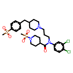 CS(=O)(=O)c1ccc(CC2CCN(CCCN(C(=O)C3CCN(S(C)(=O)=O)CC3)c3ccc(Cl)c(Cl)c3)CC2)cc1